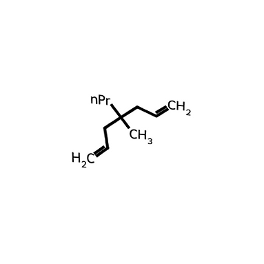 C=CCC(C)(CC=C)CCC